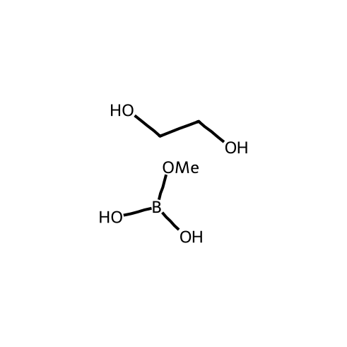 COB(O)O.OCCO